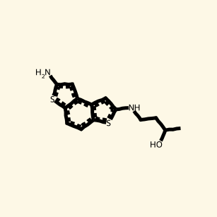 CC(O)CCNc1cc2c(ccc3sc(N)cc32)s1